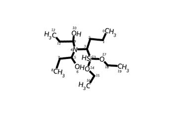 CCCC(N(C(O)CC)C(O)CC)[SiH](OCC)OCC